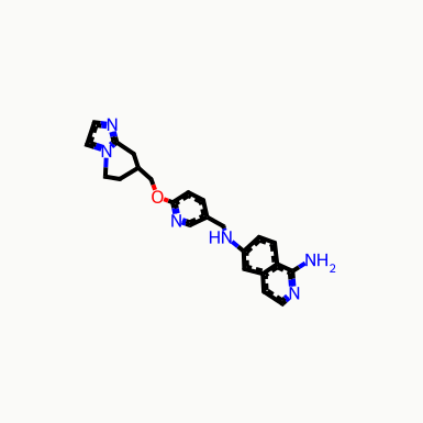 Nc1nccc2cc(NCc3ccc(OCC4CCn5ccnc5C4)nc3)ccc12